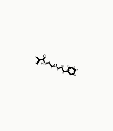 C=C(C)C(=O)NCCOCCCc1ccccc1